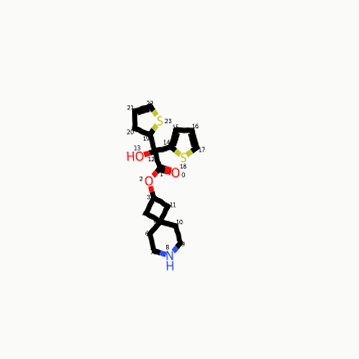 O=C(OC1CC2(CCNCC2)C1)C(O)(c1cccs1)C1CC=CS1